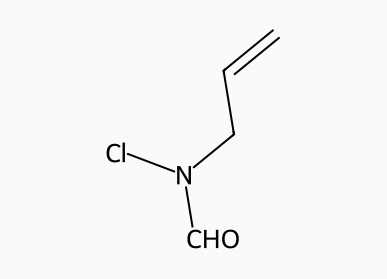 C=CCN(Cl)C=O